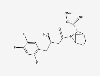 CNOC(=N)[C@@H]1C2CCC(C2)N1C(=O)C[C@H](N)Cc1cc(F)c(F)cc1F